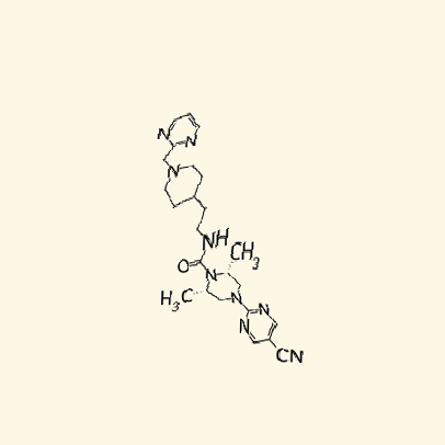 C[C@@H]1CN(c2ncc(C#N)cn2)C[C@H](C)N1C(=O)NCCC1CCN(Cc2ncccn2)CC1